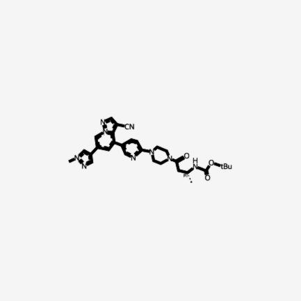 C[C@H](CC(=O)N1CCN(c2ccc(-c3cc(-c4cnn(C)c4)cn4ncc(C#N)c34)cn2)CC1)NC(=O)OC(C)(C)C